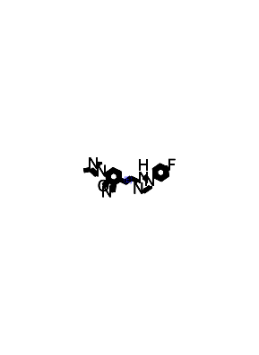 Cc1cn(-c2ccc(/C=C/C3=NCCN(c4ccc(F)cc4)N3)c3cnoc23)cn1